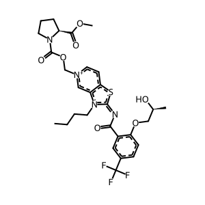 CCCCn1c(=NC(=O)c2cc(C(F)(F)F)ccc2OC[C@H](C)O)sc2cc[n+](COC(=O)N3CCC[C@H]3C(=O)OC)cc21